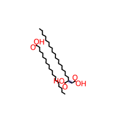 CCCCCCCCCCCCCCCCCC(=O)O.CCCCCCCCCCCCCCCCCC/C(=C\C(=O)O)C(=O)O